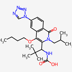 CCCCOc1c(C(NC(=O)O)C(C)(C)C)n(CC(C)C)c(=O)c2ccc(-n3cnnn3)cc12